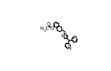 CC(=O)Oc1cccc2c1CCC(Cn1cc(C(c3cccnc3)c3cccnc3)cn1)C2